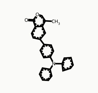 Cc1coc(=O)c2ccc(-c3ccc(N(c4ccccc4)c4ccccc4)cc3)cc12